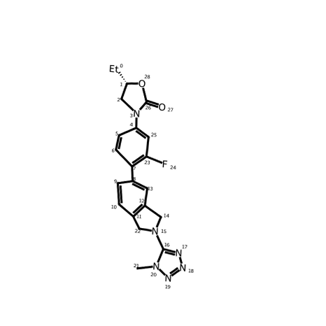 CC[C@H]1CN(c2ccc(-c3ccc4c(c3)CN(c3nnnn3C)C4)c(F)c2)C(=O)O1